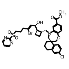 COC(=O)c1ccc2c(c1)N(C[C@@H]1CC[C@H]1[C@H](O)/C=C(\Br)CCCS(=O)(=O)c1ncccn1)C[C@@]1(CCCc3cc(Cl)ccc31)CO2